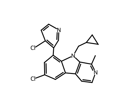 Cc1nccc2c3cc(Cl)cc(-c4cnccc4Cl)c3n(CC3CC3)c12